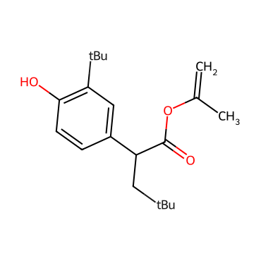 C=C(C)OC(=O)C(CC(C)(C)C)c1ccc(O)c(C(C)(C)C)c1